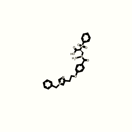 NN(C[C@@H](C(=O)O)S(=O)(=O)c1ccccc1)C(=O)c1ccc(OCCc2cn(Cc3ccccc3)cn2)cc1